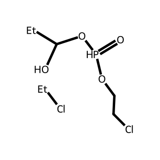 CCC(O)O[PH](=O)OCCCl.CCCl